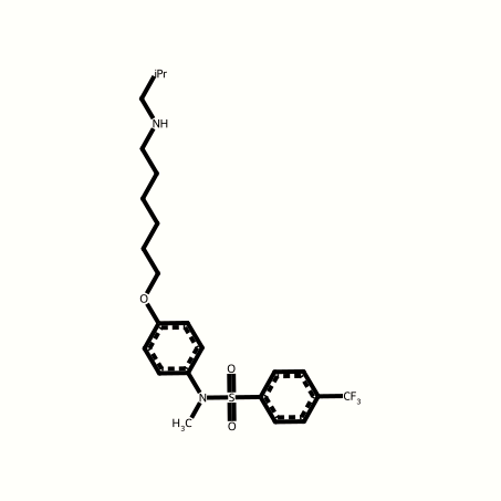 CC(C)CNCCCCCCOc1ccc(N(C)S(=O)(=O)c2ccc(C(F)(F)F)cc2)cc1